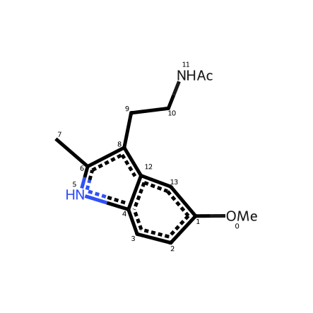 COc1ccc2[nH]c(C)c(CCNC(C)=O)c2c1